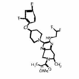 CO[C@H](C)C(=O)N1Cc2nc(N3CCC(Oc4ccc(F)cc4F)CC3)c(NCC(F)F)nc2CC1C